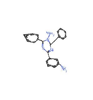 Nc1cccc(C2=NC(c3ccccc3)N(N)C(c3ccccc3)=N2)c1